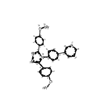 CCCOc1ccc(-c2nnc(-c3ccc(OCCC)cc3)n2-c2ccc(-c3cccnc3)cc2)cc1